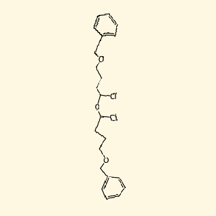 ClC(CCCOCc1ccccc1)OC(Cl)CCCOCc1ccccc1